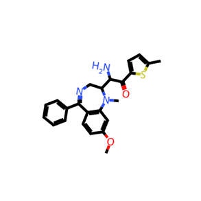 COc1ccc2c(c1)N(C)C(C(N)C(=O)c1ccc(C)s1)CN=C2c1ccccc1